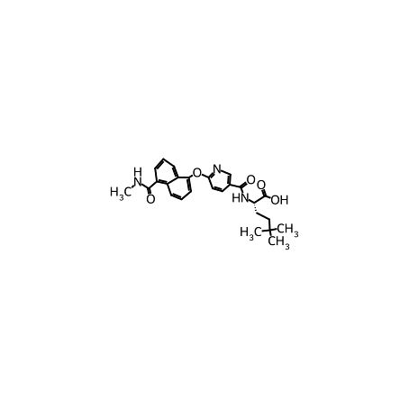 CNC(=O)c1cccc2c(Oc3ccc(C(=O)N[C@@H](CCC(C)(C)C)C(=O)O)cn3)cccc12